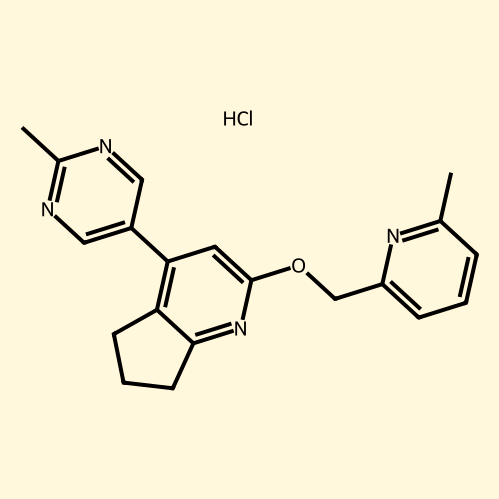 Cc1cccc(COc2cc(-c3cnc(C)nc3)c3c(n2)CCC3)n1.Cl